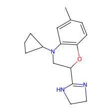 Cc1ccc2c(c1)N(C1CCC1)CC(C1=NCCN1)O2